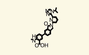 CNc1ccc(-c2ccc3c(c2)C(=O)N(c2cccc(-c4nncn4C(C)C)n2)C3)cc1C(=O)O